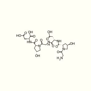 NCC(=O)N1C[C@H](O)C[C@H]1C(=O)N[C@@H](CC(=O)O)C(=O)NCC(=O)N1C[C@H](O)C[C@H]1C(=O)N[C@@H](CC(=O)O)C(=O)O